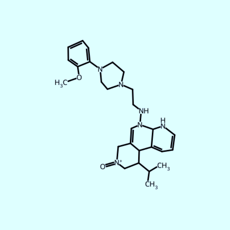 COc1ccccc1N1CCN(CCNN2C=C3C[N+](=O)CC(C(C)C)C3C3=CC=CNC32)CC1